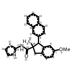 COc1ccc2c(c1)C(c1ccc3ccccc3c1)C(C)(C(=O)Nc1nccs1)C2